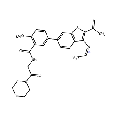 C=C(N)c1sc2cc(-c3ccc(OC)c(C(=O)NCC(=O)N4CCOCC4)c3)ccc2c1/N=C\N